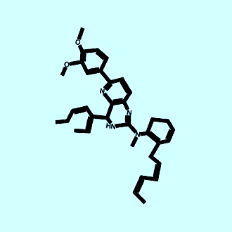 C/C=C\C=C/CC1=C(N(C)C2=Nc3ccc(-c4ccc(OC)c(OC)c4)nc3C(C(/C=C\CC)=C/C)N2)CCC=C1